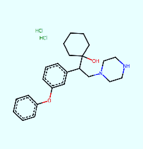 Cl.Cl.OC1(C(CN2CCNCC2)c2cccc(Oc3ccccc3)c2)CCCCC1